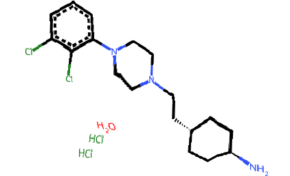 Cl.Cl.N[C@H]1CC[C@H](CCN2CCN(c3cccc(Cl)c3Cl)CC2)CC1.O